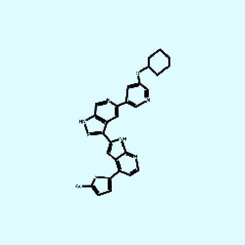 CC(=O)c1ccc(-c2ccnc3[nH]c(-c4n[nH]c5cnc(-c6cncc(OC7CCCCC7)c6)cc45)cc23)s1